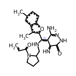 C=CC(=O)N1CCCC1CN/C(=C1\C(=N)C(=O)NN=C1N)c1oc2ccc(C)cc2c1C